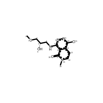 COC[C@@H](O)CNc1nnc(Cl)c2ccn(C)c(=O)c12